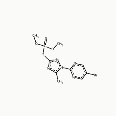 COP(=S)(OC)Oc1nc(C)n(-c2ncc(Br)cn2)n1